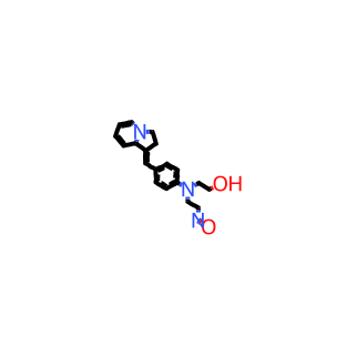 O=NCCN(CCO)c1ccc(/C=C2\CCN3C=CC=CC23)cc1